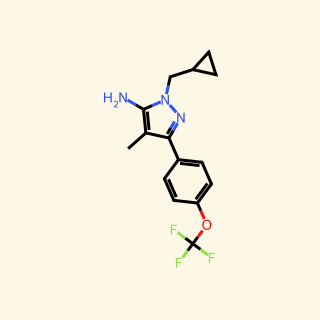 Cc1c(-c2ccc(OC(F)(F)F)cc2)nn(CC2CC2)c1N